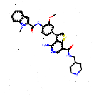 COc1cc(-c2csc3c(C(=O)NCC4CCNCC4)cnc(N)c23)ccc1NC(=O)c1cc2ccccc2n1C